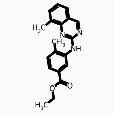 CCOC(=O)c1ccc(C)c(Nc2ncc3cccc(C)c3n2)c1